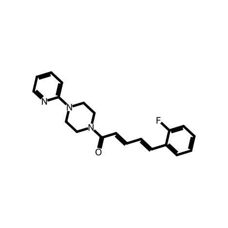 O=C(C=CC=Cc1ccccc1F)N1CCN(c2ccccn2)CC1